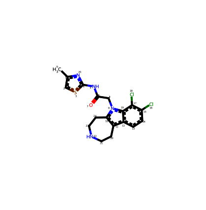 Cc1csc(NC(=O)Cn2c3c(c4ccc(Cl)c(Cl)c42)CCNCC3)n1